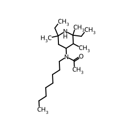 CCCCCCCCN(C(C)=O)C1CC(C)(CC)NC(C)(CC)C1C